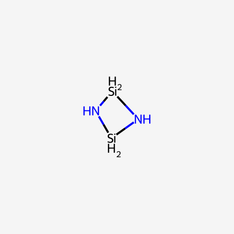 N1[SiH2]N[SiH2]1